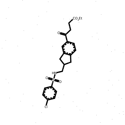 CCOC(=O)CCC(=O)c1ccc2c(c1)CC(CNS(=O)(=O)c1ccc(Cl)cc1)C2